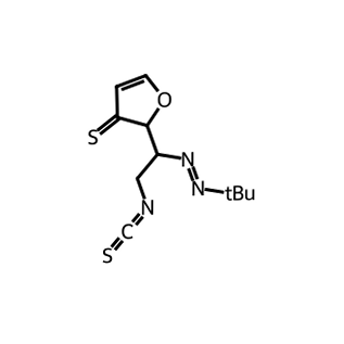 CC(C)(C)N=NC(CN=C=S)C1OC=CC1=S